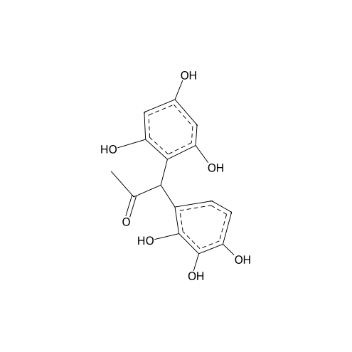 CC(=O)C(c1ccc(O)c(O)c1O)c1c(O)cc(O)cc1O